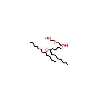 CCCCCCCC(CCCC)OC(CCCC)CCCCCCC.OCCOCCO